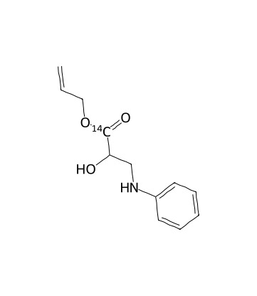 C=CCO[14C](=O)C(O)CNc1ccccc1